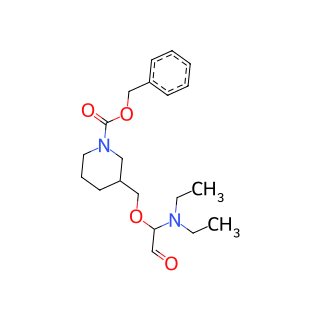 CCN(CC)C(C=O)OCC1CCCN(C(=O)OCc2ccccc2)C1